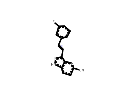 N#Cc1ccc2[nH]nc(/C=C/c3cccc(F)c3)c2n1